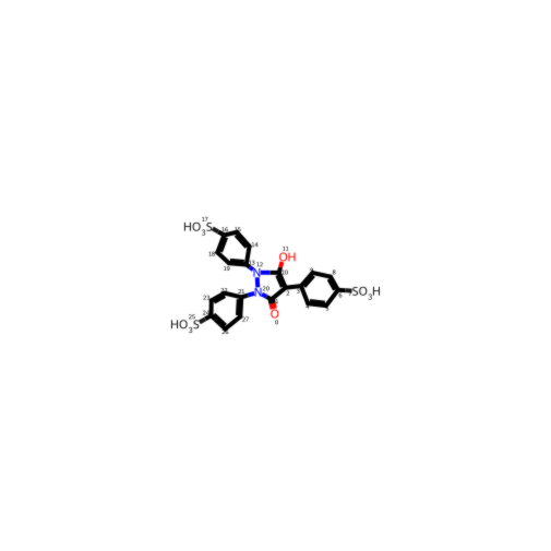 O=c1c(-c2ccc(S(=O)(=O)O)cc2)c(O)n(-c2ccc(S(=O)(=O)O)cc2)n1-c1ccc(S(=O)(=O)O)cc1